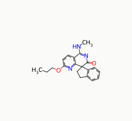 CCCOc1ccc2c(n1)C1(CCc3ccccc31)C(=O)N=C2NC